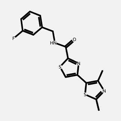 Cc1nc(C)c(-c2csc(C(=O)NCc3cccc(F)c3)n2)s1